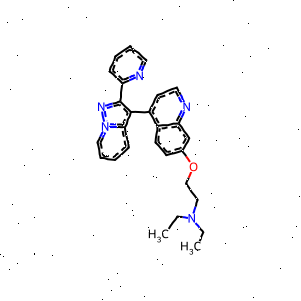 CCN(CC)CCOc1ccc2c(-c3c(-c4ccccn4)nn4ccccc34)ccnc2c1